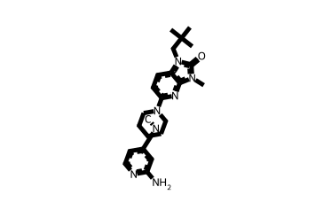 Cn1c(=O)n(CC(C)(C)C)c2ccc(N3CC4CCC3CN4c3ccnc(N)c3)nc21